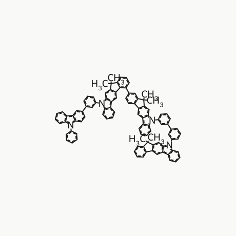 CC1(C)c2ccccc2-c2cc3c4ccccc4n(-c4cccc(-c5cccc(-n6c7ccccc7c7cc8c(cc76)C(C)(C)c6cc(-c7cccc9c7-c7cc%10c%11ccccc%11n(-c%11cccc(-c%12ccc%13c(c%12)c%12ccccc%12n%13-c%12ccccc%12)c%11)c%10cc7C9(C)C)ccc6-8)c5)c4)c3cc21